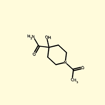 CC(=O)N1CCC(O)(C(N)=O)CC1